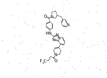 O=C(CCC(F)(F)F)N1CC=C(c2cccn3nc(Nc4ccc(C(=O)N5CCC(Cc6cccnc6)C5)cc4)nc23)CC1